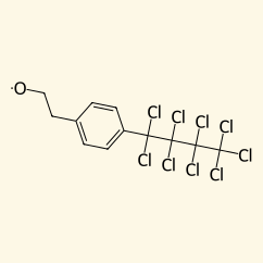 [O]CCc1ccc(C(Cl)(Cl)C(Cl)(Cl)C(Cl)(Cl)C(Cl)(Cl)Cl)cc1